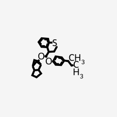 CCC(C)c1ccc(OC(OC2CC3CC2C2CCCC32)C2CCSc3ccccc32)cc1